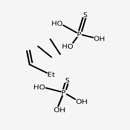 C=CCC.CC.CC.OP(O)(O)=S.OP(O)(O)=S